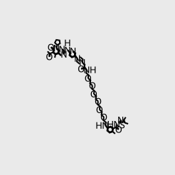 CC(=O)c1c(C)c2cnc(Nc3ccc(N4CCN(CC(=O)NCCOCCOCCOCCOCCOCCOCCNc5ccc(C)c(C(=O)Nc6nc(C)c(C)s6)c5)CC4)cn3)nc2n(C2CCCC2)c1=O